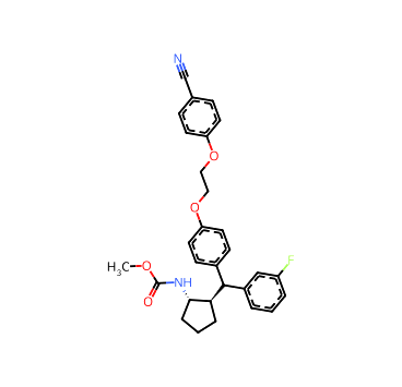 COC(=O)N[C@H]1CCC[C@@H]1C(c1ccc(OCCOc2ccc(C#N)cc2)cc1)c1cccc(F)c1